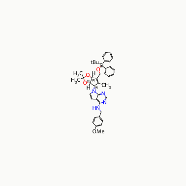 COc1ccc(CNc2ncnc3c2ccn3[C@@H]2C(C)=C(CO[Si](c3ccccc3)(c3ccccc3)C(C)(C)C)[C@H]3OC(C)(C)O[C@H]32)cc1